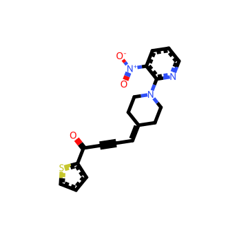 O=C(C#CC=C1CCN(c2ncccc2[N+](=O)[O-])CC1)c1cccs1